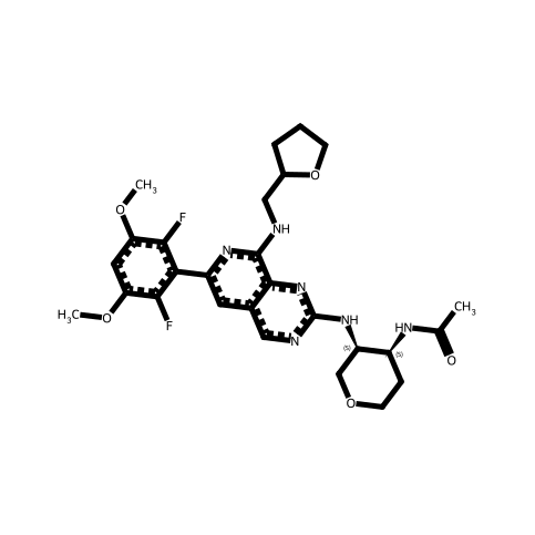 COc1cc(OC)c(F)c(-c2cc3cnc(N[C@@H]4COCC[C@@H]4NC(C)=O)nc3c(NCC3CCCO3)n2)c1F